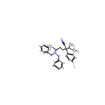 CC(CCC(C#N)(c1ccc(F)cc1)C(C)C)N(Cc1ccccc1)Cc1ccccc1